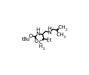 C=C(C)CNCC(NC(=O)OC(C)(C)C)C(=C)CC